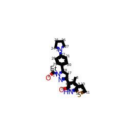 CCC(=O)N1N=C(c2c(C)c3ccsc3[nH]c2=O)CC1c1ccc(N2CCCC2)cc1